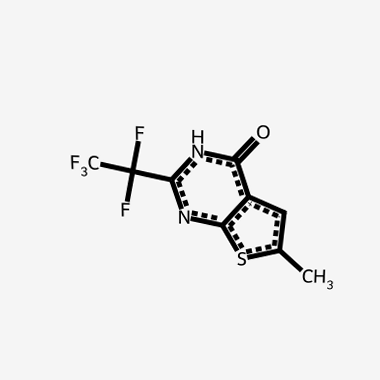 Cc1cc2c(=O)[nH]c(C(F)(F)C(F)(F)F)nc2s1